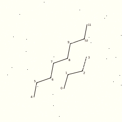 CCCC.CCCCCCCC